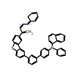 C=C(/C=C\C=C1\C=CC=CC1)c1ccc2sc3ccc(-c4cccc(-c5ccc(N(c6ccccc6)c6cccc7ccccc67)cc5)c4)cc3c2c1